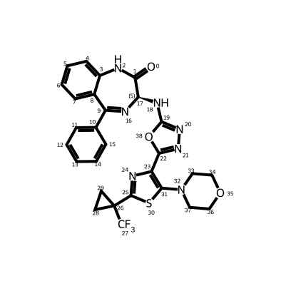 O=C1Nc2ccccc2C(c2ccccc2)=N[C@@H]1Nc1nnc(-c2nc(C3(C(F)(F)F)CC3)sc2N2CCOCC2)o1